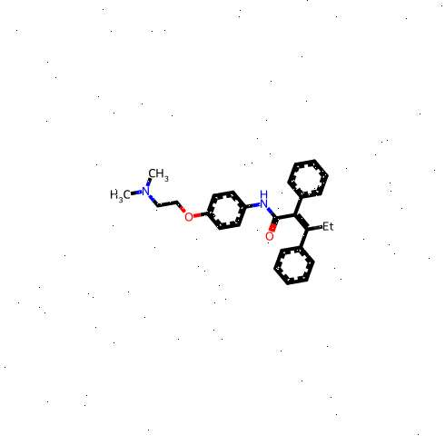 CCC(=C(C(=O)Nc1ccc(OCCN(C)C)cc1)c1ccccc1)c1ccccc1